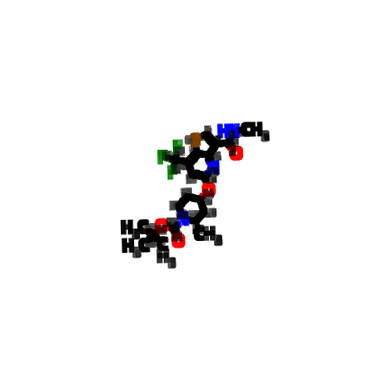 CNC(=O)c1csc2c(C(F)(F)F)cc(O[C@@H]3CCN(C(=O)OC(C)(C)C)[C@@H](C)C3)nc12